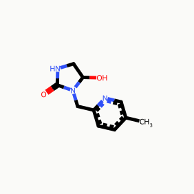 Cc1ccc(CN2C(=O)NCC2O)nc1